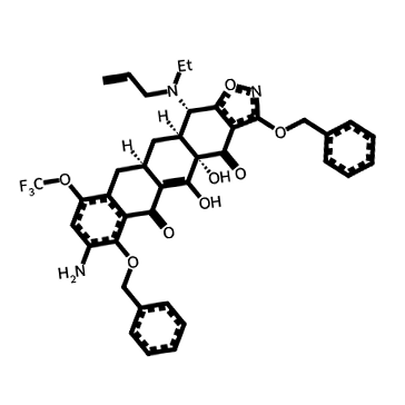 C=CCN(CC)[C@@H]1c2onc(OCc3ccccc3)c2C(=O)[C@@]2(O)C(O)=C3C(=O)c4c(c(OC(F)(F)F)cc(N)c4OCc4ccccc4)C[C@H]3C[C@@H]12